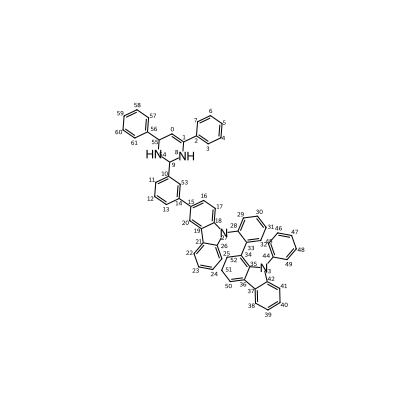 C1=C(c2ccccc2)NC(c2cccc(-c3ccc4c(c3)c3ccccc3n4-c3ccccc3C3=c4c(c5ccccc5n4-c4ccccc4)=CCC3)c2)NC1c1ccccc1